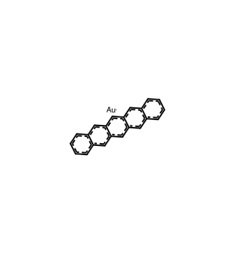 [Au].c1ccc2cc3cc4cc5ccccc5cc4cc3cc2c1